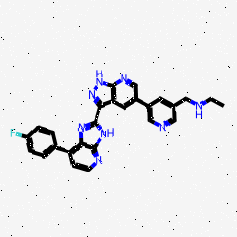 CCNCc1cncc(-c2cnc3[nH]nc(-c4nc5c(-c6ccc(F)cc6)ccnc5[nH]4)c3c2)c1